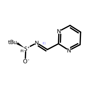 CC(C)(C)[S@+]([O-])/N=C/c1ncccn1